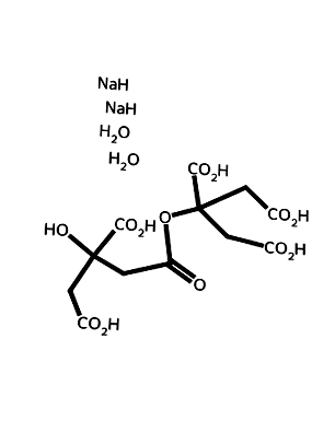 O.O.O=C(O)CC(O)(CC(=O)OC(CC(=O)O)(CC(=O)O)C(=O)O)C(=O)O.[NaH].[NaH]